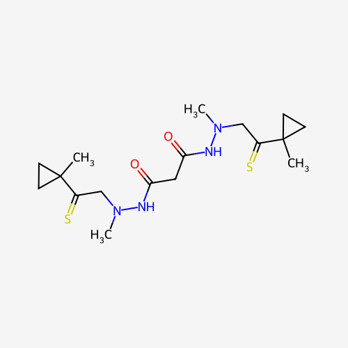 CN(CC(=S)C1(C)CC1)NC(=O)CC(=O)NN(C)CC(=S)C1(C)CC1